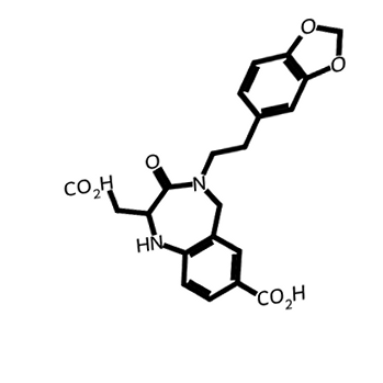 O=C(O)CC1Nc2ccc(C(=O)O)cc2CN(CCc2ccc3c(c2)OCO3)C1=O